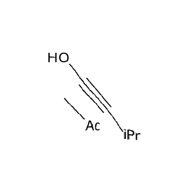 CC(C)=O.CC(C)C#CO